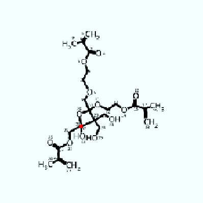 C=C(C)C(=O)OCCOCC(OCCOC(=O)C(=C)C)(OCCOC(=O)C(=C)C)C(CO)(CO)CO